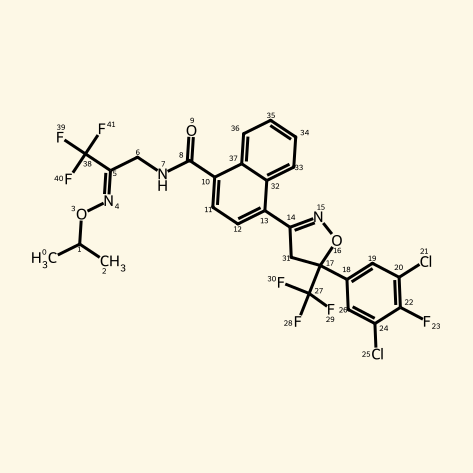 CC(C)ON=C(CNC(=O)c1ccc(C2=NOC(c3cc(Cl)c(F)c(Cl)c3)(C(F)(F)F)C2)c2ccccc12)C(F)(F)F